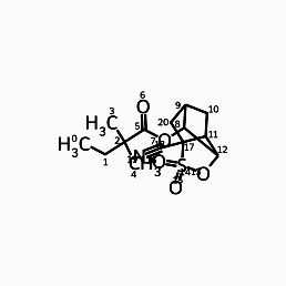 CCC(C)(C)C(=O)OC1C2CC3C1OS(=O)(=O)C3(C#N)C2